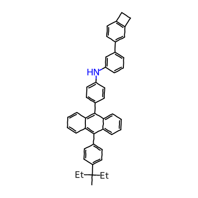 CCC(C)(CC)c1ccc(-c2c3ccccc3c(-c3ccc(Nc4cccc(-c5ccc6c(c5)CC6)c4)cc3)c3ccccc23)cc1